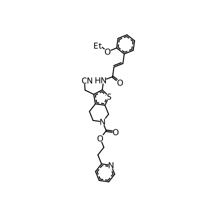 CCOc1ccccc1/C=C/C(=O)Nc1sc2c(c1CC#N)CCN(C(=O)OCCc1ccccn1)C2